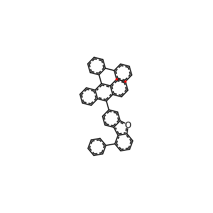 c1ccc(-c2ccccc2-c2c3ccccc3c(-c3ccc4c(c3)oc3cccc(-c5ccccc5)c34)c3ccccc23)cc1